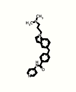 CN(C)CCCn1ccc2cc(Cc3ccc(C(=O)Nc4ccncc4)cc3)ccc21